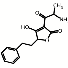 CC(N)C(=O)C1=C(O)C(CCc2ccccc2)OC1=O